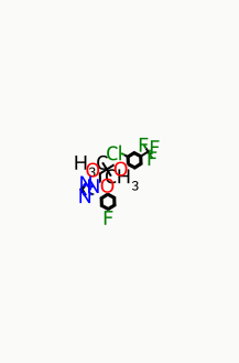 CC(C)(COc1ccc(C(F)(F)F)cc1Cl)C(=O)C(Oc1ccc(F)cc1)n1cncn1